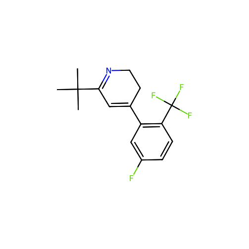 CC(C)(C)C1=NCCC(c2cc(F)ccc2C(F)(F)F)=C1